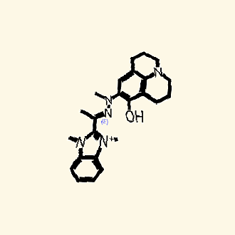 C/C(=N\N(C)c1cc2c3c(c1O)CCCN3CCC2)c1n(C)c2ccccc2[n+]1C